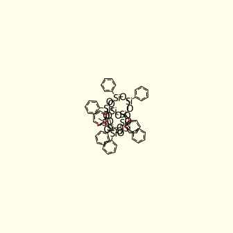 C[Si]1(C)O[Si]2(c3ccccc3)O[Si]3(c4ccccc4)O[Si]4(c5ccccc5)O[Si](C)(C)O[Si]5(c6ccccc6)O[Si](c6ccccc6)(O[Si](c6ccccc6)(O1)O[Si](c1ccccc1)(O5)O[Si](c1ccccc1)(O2)O4)O3